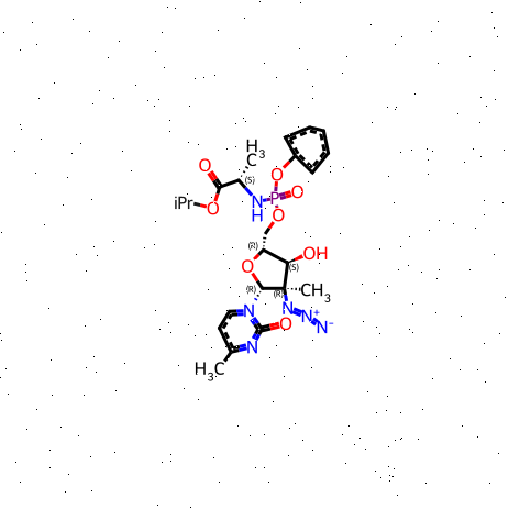 Cc1ccn([C@@H]2O[C@H](COP(=O)(N[C@@H](C)C(=O)OC(C)C)Oc3ccccc3)[C@@H](O)[C@@]2(C)N=[N+]=[N-])c(=O)n1